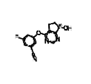 N#Cc1cc(F)cc(Oc2ncnc3c2CC[C@H]3O)c1